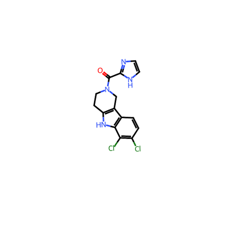 O=C(c1ncc[nH]1)N1CCc2[nH]c3c(Cl)c(Cl)ccc3c2C1